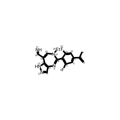 C=C(C)c1cc(F)c(C2=Nc3cn[nH]c3C(C=N)=CN2CC)c(F)c1